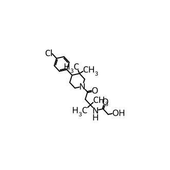 CC(C)(CC(=O)N1CCC(c2ccc(Cl)cc2)C(C)(C)C1)NC(=O)CO